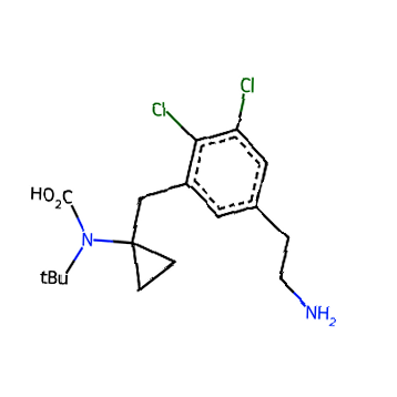 CC(C)(C)N(C(=O)O)C1(Cc2cc(CCN)cc(Cl)c2Cl)CC1